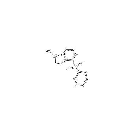 O=S(=O)(c1ccccc1)c1cccc2c1CC[C@@H]2O